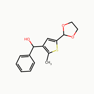 Cc1sc(C2OCCO2)cc1C(O)c1ccccc1